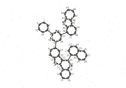 c1ccc(-c2nc(-c3ccc4sc5c6ccccc6nc(-c6cccc7ccccc67)c5c4c3)cc(-c3cccc4c3sc3ccccc34)n2)cc1